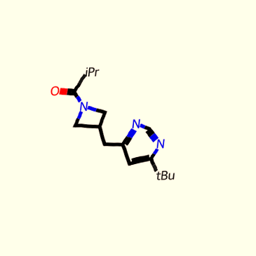 CC(C)C(=O)N1CC(Cc2cc(C(C)(C)C)ncn2)C1